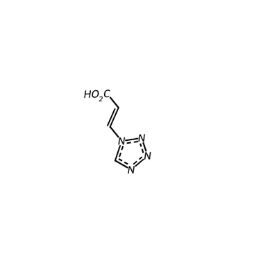 O=C(O)C=Cn1cnnn1